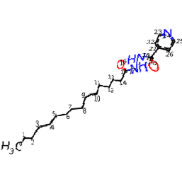 CCCCCCCCCCCCCCCC(=O)NNC(=O)c1ccncc1